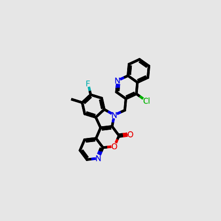 Cc1cc2c3c4cccnc4oc(=O)c3n(Cc3cnc4ccccc4c3Cl)c2cc1F